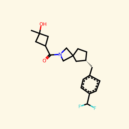 CC1(O)CC(C(=O)N2CC3(CC[C@H](Cc4ccc(C(F)F)cc4)C3)C2)C1